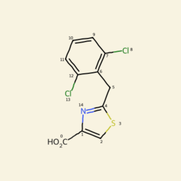 O=C(O)c1csc(Cc2c(Cl)cccc2Cl)n1